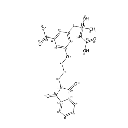 C[SH](O)(Cc1cc(OCCCN2C(=O)c3ccccc3C2=O)cc([N+](=O)[O-])c1)=NC(=O)O